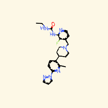 CCNC(=O)Nc1nccc(CN2CCC(c3ccc(-n4cccn4)nc3C)CC2)c1F